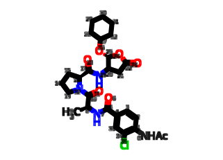 CC(=O)Nc1ccc(C(=O)N[C@@H](C)C(=O)N2CCC[C@H]2C(=O)NC2CC(=O)O[C@H]2OC2CCCCC2)cc1Cl